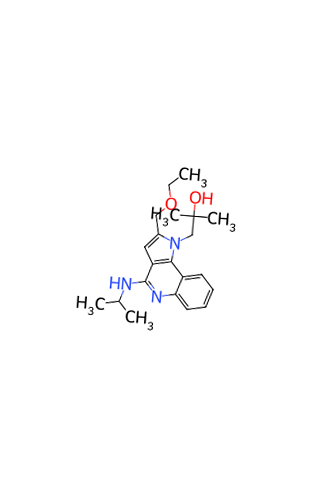 CCOCc1cc2c(NC(C)C)nc3ccccc3c2n1CC(C)(C)O